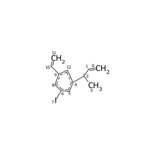 C=C[C](C)c1cc(I)cc(C=C)c1